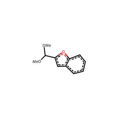 COC(OC)c1cc2ccccc2o1